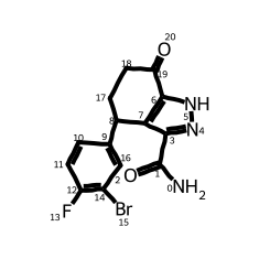 NC(=O)c1n[nH]c2c1C(c1ccc(F)c(Br)c1)CCC2=O